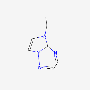 CCN1C=CN2N=CC=NC12